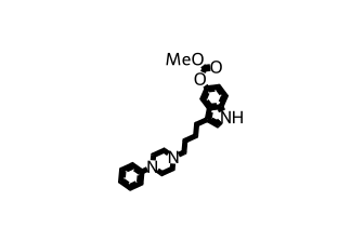 COC(=O)Oc1ccc2[nH]cc(CCCCN3CCN(c4ccccc4)CC3)c2c1